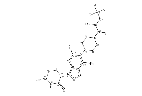 CN(C(=O)OC(C)(C)C)C1CCC(c2c(F)cc3c(ccn3[C@H]3CCC(=O)NC3=O)c2F)CC1